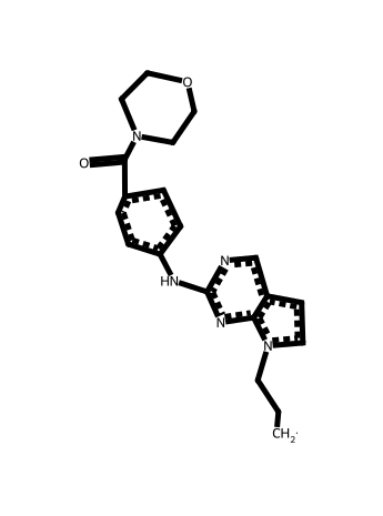 [CH2]CCn1ccc2cnc(Nc3ccc(C(=O)N4CCOCC4)cc3)nc21